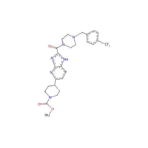 CC(C)(C)OC(=O)N1CCC(c2ccc3[nH]c(C(=O)N4CCN(Cc5ccc(C(F)(F)F)cc5)CC4)nc3n2)CC1